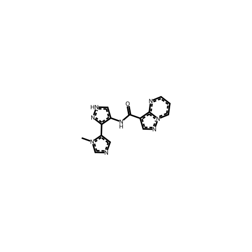 Cn1cncc1-c1n[nH]cc1NC(=O)c1cnn2cccnc12